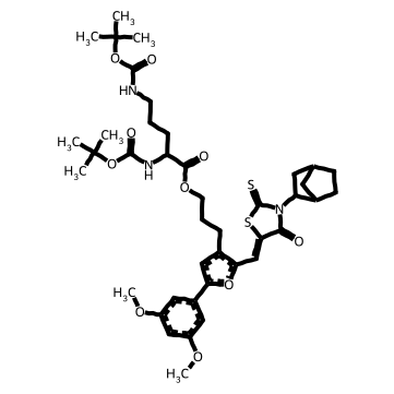 COc1cc(OC)cc(-c2cc(CCCOC(=O)C(CCCNC(=O)OC(C)(C)C)NC(=O)OC(C)(C)C)c(C=C3SC(=S)N(C4CC5CCC4C5)C3=O)o2)c1